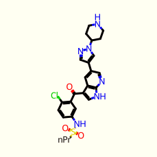 CCCS(=O)(=O)Nc1ccc(Cl)c(C(=O)c2c[nH]c3ncc(-c4cnn(C5CCNCC5)c4)cc23)c1